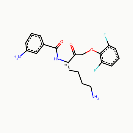 NCCCC[C@H](NC(=O)c1cccc(N)c1)C(=O)COc1c(F)cccc1F